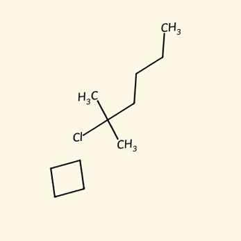 C1CCC1.CCCCC(C)(C)Cl